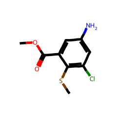 COC(=O)c1cc(N)cc(Cl)c1SC